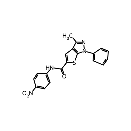 Cc1nn(-c2ccccc2)c2sc(C(=O)Nc3ccc([N+](=O)[O-])cc3)cc12